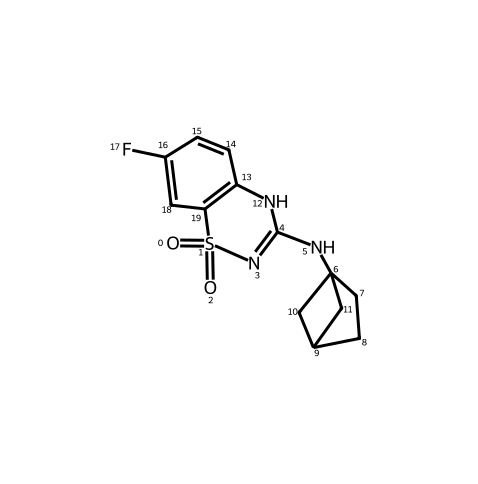 O=S1(=O)N=C(NC23CCC(C2)C3)Nc2ccc(F)cc21